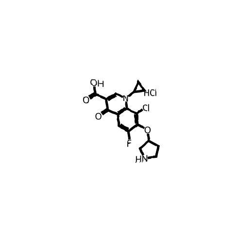 Cl.O=C(O)c1cn(C2CC2)c2c(Cl)c(OC3CCNC3)c(F)cc2c1=O